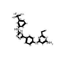 CCc1nc(N)cc(Oc2ccc(-c3nnc(Nc4cccc(C(F)(F)F)c4)[nH]3)cc2)n1